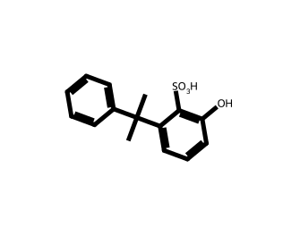 CC(C)(c1ccccc1)c1cccc(O)c1S(=O)(=O)O